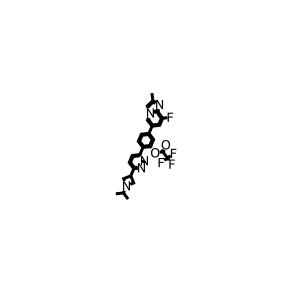 Cc1cn2cc(-c3ccc(-c4ccc(C5CN(C(C)C)C5)nn4)c(OC(=O)C(F)(F)F)c3)cc(F)c2n1